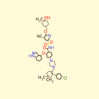 CC1(C)CCC(CN2CCN(c3ccc(C(=O)NS(=O)(=O)c4cnc(OCC5CCC(C)(O)CC5)c(C#N)c4)c(Oc4cccc5[nH]ncc45)c3)CC2)=C(c2ccc(Cl)cc2)C1